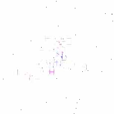 CCOC(=O)c1cnn2c(N(C)C(=O)OC(C)(C)C)cc(NC3=CC=CN([C@H]4CC[C@](C)(OC)CC4)C3O)nc12